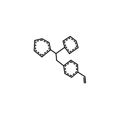 C=Cc1ccc(CC(c2ccccc2)c2ccccc2)cc1